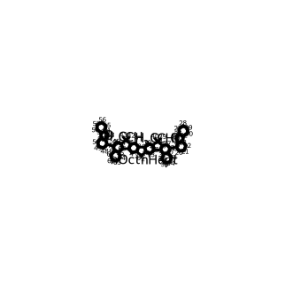 CCCCCCCCC1(CCCCCCC)c2cc3c(cc2-c2cc4c(cc21)-c1c(cc(-c2cccc5c2oc2ccccc25)c2ccccc12)C4(C)C)C(C)(C)c1cc(-c2cccc4c2oc2ccccc24)c2ccccc2c1-3